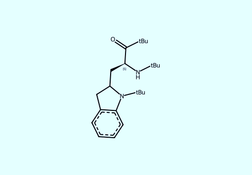 CC(C)(C)N[C@@H](CC1Cc2ccccc2N1C(C)(C)C)C(=O)C(C)(C)C